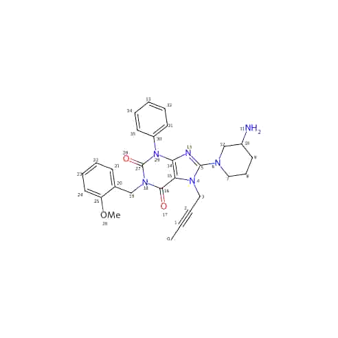 CC#CCn1c(N2CCCC(N)C2)nc2c1c(=O)n(Cc1ccccc1OC)c(=O)n2-c1ccccc1